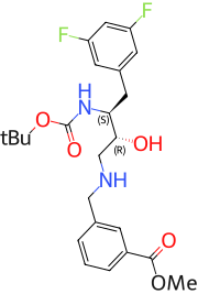 COC(=O)c1cccc(CNC[C@@H](O)[C@H](Cc2cc(F)cc(F)c2)NC(=O)OC(C)(C)C)c1